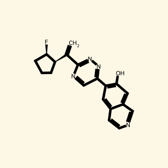 C=C(c1ncc(-c2cc3ccncc3cc2O)nn1)[C@H]1CCC[C@H]1F